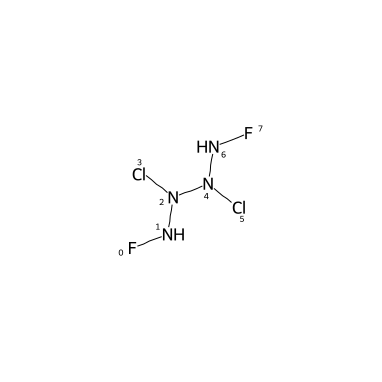 FNN(Cl)N(Cl)NF